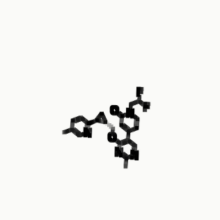 Cc1ccc([C@H]2C[C@@H]2COc2nc(C)ncc2-c2ccn(CC(F)F)c(=O)c2)nc1